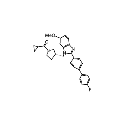 COc1ccc2nc(-c3ccc(-c4ccc(F)cc4)cc3)n(C[C@@H]3CCN(C(=O)C4CC4)C3)c2c1